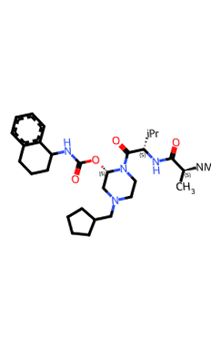 CN[C@@H](C)C(=O)N[C@H](C(=O)N1CCN(CC2CCCC2)C[C@@H]1OC(=O)NC1CCCc2ccccc21)C(C)C